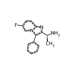 C[C@H](N)c1nc2ccc(F)cn2c1-c1ccccc1